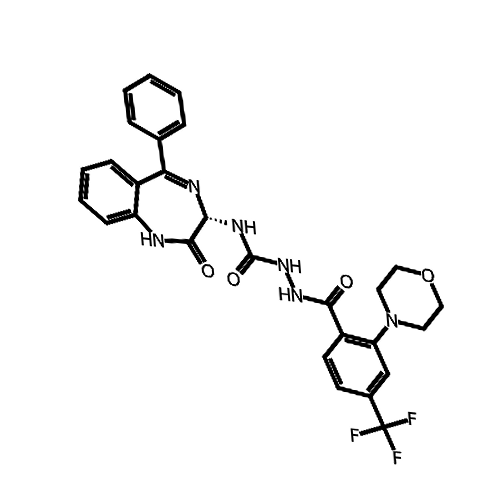 O=C(NNC(=O)c1ccc(C(F)(F)F)cc1N1CCOCC1)N[C@H]1N=C(c2ccccc2)c2ccccc2NC1=O